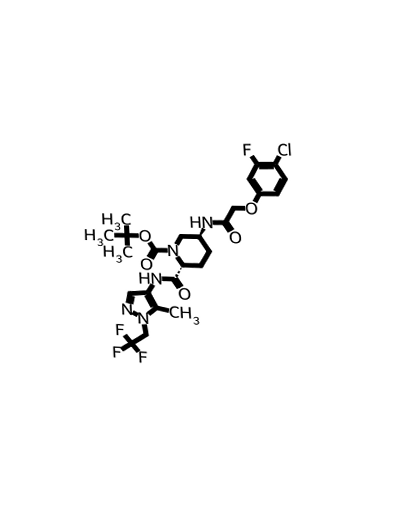 Cc1c(NC(=O)[C@H]2CC[C@H](NC(=O)COc3ccc(Cl)c(F)c3)CN2C(=O)OC(C)(C)C)cnn1CC(F)(F)F